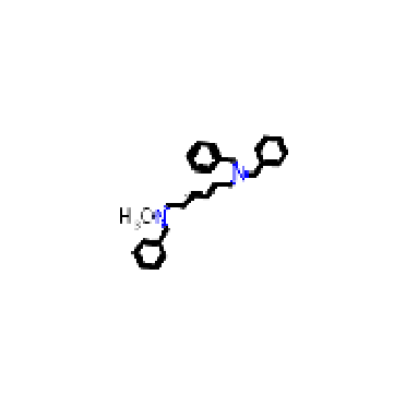 CN(CC[CH]CCCN(Cc1ccccc1)Cc1ccccc1)Cc1ccccc1